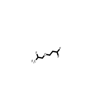 FC(F)CCOCC(F)C(F)(F)F